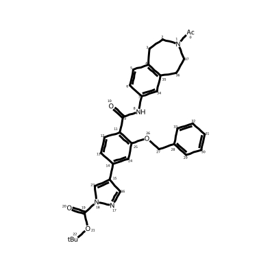 CC(=O)N1CCc2ccc(NC(=O)c3ccc(-c4cnn(C(=O)OC(C)(C)C)c4)cc3OCc3ccccc3)cc2CC1